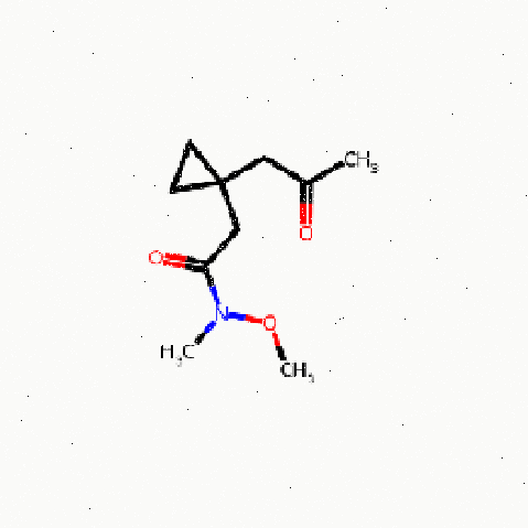 CON(C)C(=O)CC1(CC(C)=O)CC1